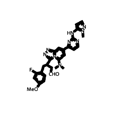 COc1ccc(CC(CC=O)c2nnc3cc(-c4ccnc(Nc5ccnn5C)n4)cc(N(C)C)n23)c(F)c1